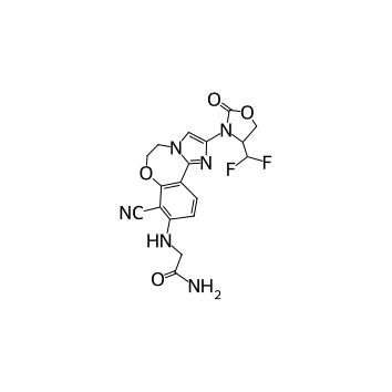 N#Cc1c(NCC(N)=O)ccc2c1OCCn1cc(N3C(=O)OCC3C(F)F)nc1-2